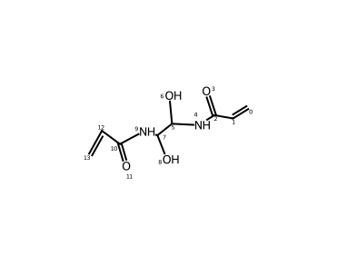 C=CC(=O)NC(O)C(O)NC(=O)C=C